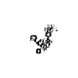 Cl.NS(=O)(=O)N1CCC(c2nsc(Nc3ncc(Sc4ccccn4)cc3Oc3ccccc3)n2)CC1